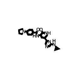 O=C(Nc1cc(-c2cncc(NC3CC3)n2)c[nH]c1=O)c1ccc(N2CCCC2)cc1